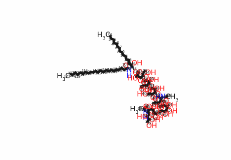 CCCCCCCCCCCCC/C=C/[C@@H](O)[C@H](CO[C@@H]1OC(CO)[C@@H](O[C@@H]2OC(CO)[C@H](O)[C@H](O[C@H]3OC(CO)[C@H](O)[C@H](O[C@@H]4OC(CO)[C@H](O)[C@H](O[C@@H]5OC(CO[C@]6(C(=O)O)CC(O)[C@@H](NC(C)=O)C([C@H](O)[C@H](O)CO)O6)[C@H](O)[C@H](O)C5O)C4NC(C)=O)C3O)C2O)[C@H](O)C1O)NC(=O)CCCCCCCCCCCCCCCCCCCCCCC